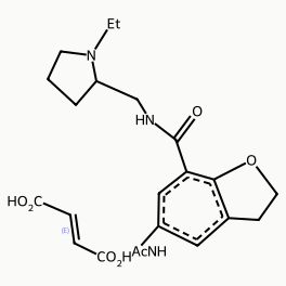 CCN1CCCC1CNC(=O)c1cc(NC(C)=O)cc2c1OCC2.O=C(O)/C=C/C(=O)O